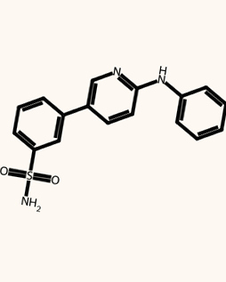 NS(=O)(=O)c1cccc(-c2ccc(Nc3ccccc3)nc2)c1